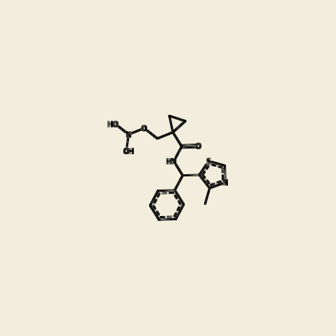 Cc1ncsc1C(NC(=O)C1(CON(O)O)CC1)c1ccccc1